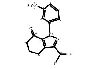 CCOC(=O)c1cccc(-n2nc(C(F)F)c3c2C(=O)CCC3)c1